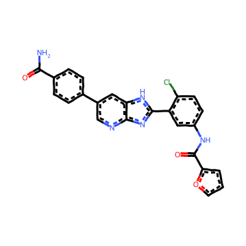 NC(=O)c1ccc(-c2cnc3nc(-c4cc(NC(=O)c5ccco5)ccc4Cl)[nH]c3c2)cc1